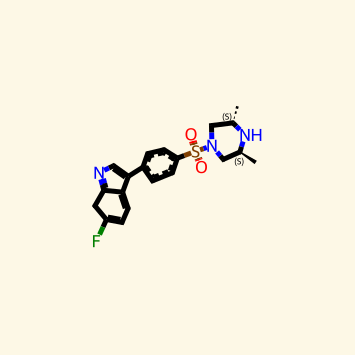 C[C@H]1CN(S(=O)(=O)c2ccc(C3=CN=C4CC(F)=CC=C34)cc2)C[C@H](C)N1